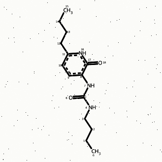 CCCCNC(=O)Nc1ccc(CCCC)[nH]c1=O